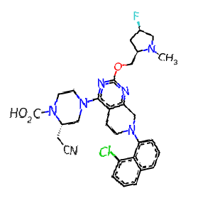 CN1C[C@H](F)C[C@@H]1COc1nc2c(c(N3CCN(C(=O)O)[C@@H](CC#N)C3)n1)CCN(c1cccc3cccc(Cl)c13)C2